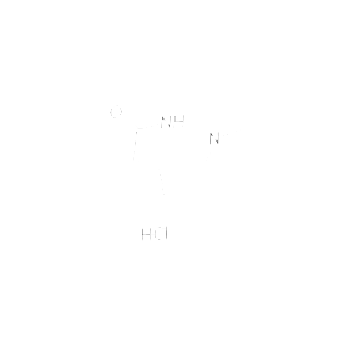 C=CC1CNC(=O)C1.CN(C)C.Cl